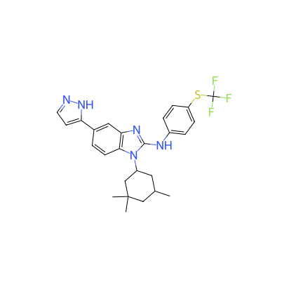 CC1CC(n2c(Nc3ccc(SC(F)(F)F)cc3)nc3cc(-c4ccn[nH]4)ccc32)CC(C)(C)C1